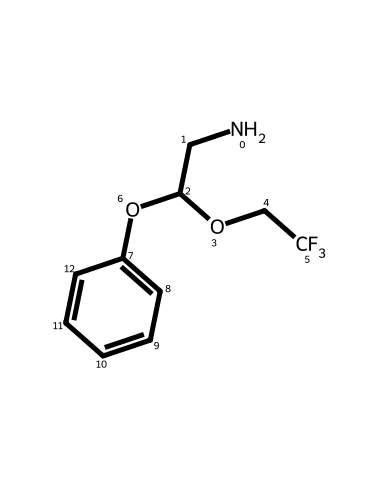 NCC(OCC(F)(F)F)Oc1ccccc1